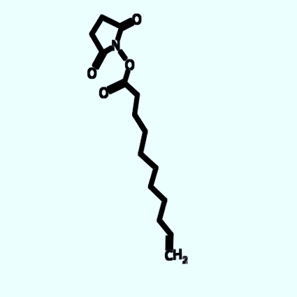 C=CCCCCCCCCC(=O)ON1C(=O)CCC1=O